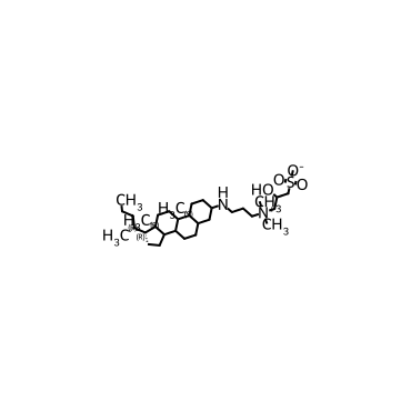 CCC[C@@H](C)[C@H]1CCC2C3CCC4CC(NCCC[N+](C)(C)CC(O)CS(=O)(=O)[O-])CC[C@]4(C)C3CC[C@@]21C